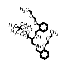 CCOCOc1ccccc1CNCC(CO[Si](C)(C)C(C)(C)C)NCc1ccccc1OCOCC